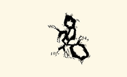 CCC(C)CCC1(CC(=O)O)C(C(C)c2cc(F)ccc2C)=Cc2ccccc21